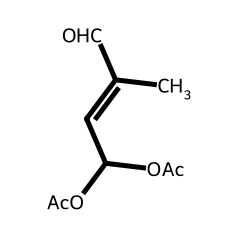 CC(=O)OC(C=C(C)C=O)OC(C)=O